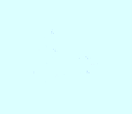 CC1(C)C=C(n2ccncc2=O)c2cc3nonc3cc2O1